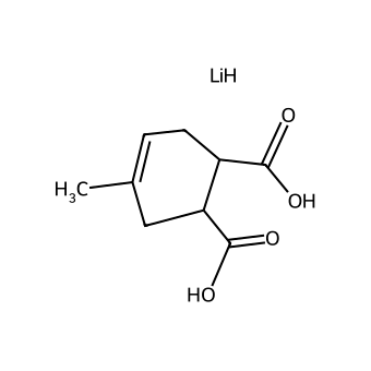 CC1=CCC(C(=O)O)C(C(=O)O)C1.[LiH]